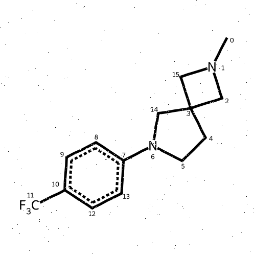 CN1CC2(CCN(c3ccc(C(F)(F)F)cc3)C2)C1